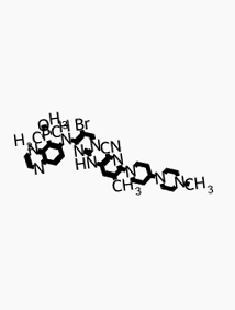 Cc1cc(Nc2ncc(Br)c(Nc3ccc4nccnc4c3P(C)(C)=O)n2)c(C#N)nc1N1CCC(N2CCN(C)CC2)CC1